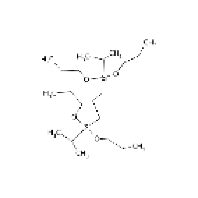 CCCO[Si](CCC[Si](OCCC)(OCCC)C(C)C)(OCCC)C(C)C